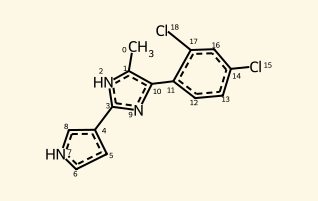 Cc1[nH]c(-c2cc[nH]c2)nc1-c1ccc(Cl)cc1Cl